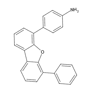 Nc1ccc(-c2cccc3c2oc2c(-c4ccccc4)cccc23)cc1